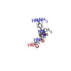 Br.Br.Cn1c(-c2ccc(C(=N)N)cc2)nc2cc(C(=O)NCCC(=O)O)cnc21